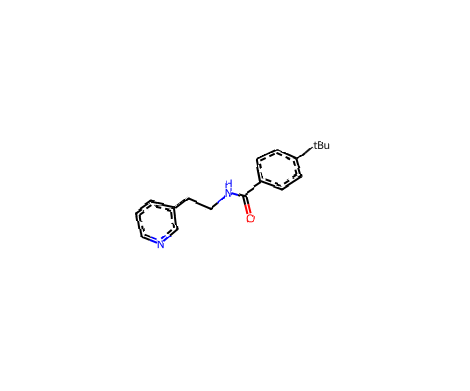 CC(C)(C)c1ccc(C(=O)NCCc2cccnc2)cc1